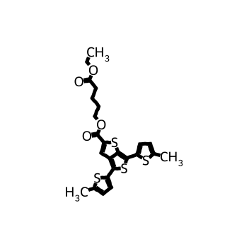 CCOC(=O)CCCCOC(=O)c1cc2c(-c3ccc(C)s3)sc(-c3ccc(C)s3)c2s1